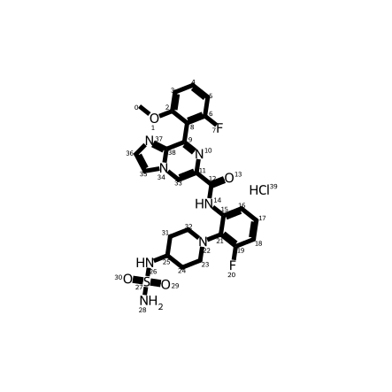 COc1cccc(F)c1-c1nc(C(=O)Nc2cccc(F)c2N2CCC(NS(N)(=O)=O)CC2)cn2ccnc12.Cl